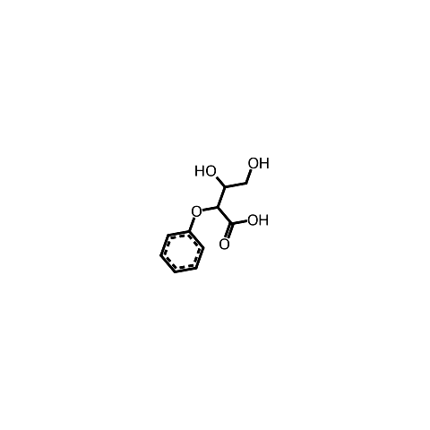 O=C(O)C(Oc1ccccc1)C(O)CO